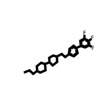 CCCC1CCC(C2CCC(CCc3ccc(-c4cc(F)c(F)c(F)c4)cc3)CC2)CC1